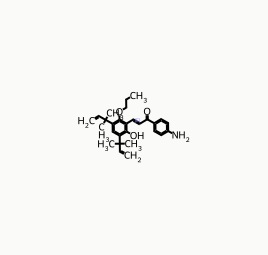 C=CC(C)(C)c1cc(C(C)(C)C=C)c(OCCC)c(/C=C/C(=O)c2ccc(N)cc2)c1O